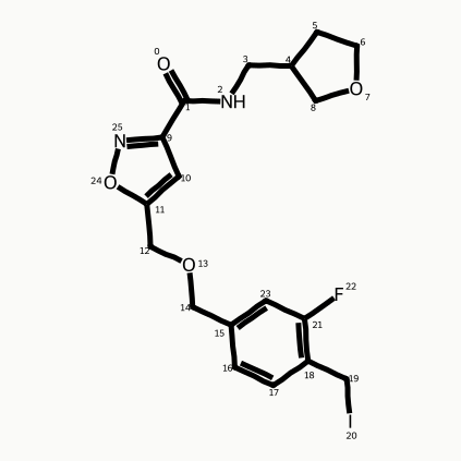 O=C(NCC1CCOC1)c1cc(COCc2ccc(CI)c(F)c2)on1